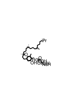 Cc1c(O)cc2c(c1C)O[C@](C)(CCC[C@H](C)CCC[C@H](C)CCCC(C)C)CC2.O=P(O)(O)O.[NaH].[NaH]